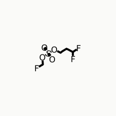 O=S(=O)(OCF)OCCC(F)F